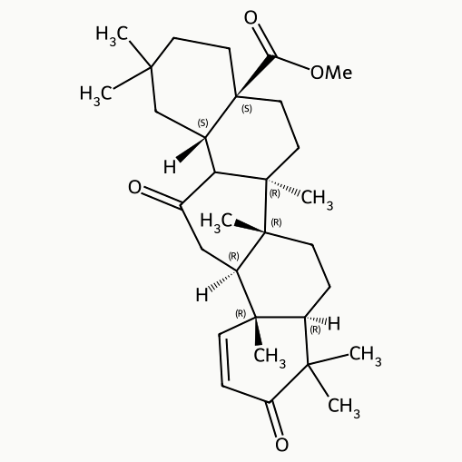 COC(=O)[C@]12CCC(C)(C)C[C@H]1C1C(=O)C[C@@H]3[C@@]4(C)C=CC(=O)C(C)(C)[C@@H]4CC[C@@]3(C)[C@]1(C)CC2